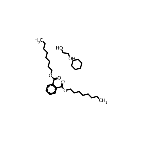 C1CCCCC1.CCCCCCCCOC(=O)c1ccccc1C(=O)OCCCCCCCC.OCCO